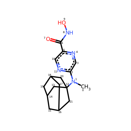 CN(c1cnc(C(=O)NO)cn1)C12CC3CC(CC(C3)C1)C2